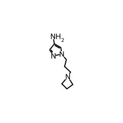 Nc1cnn(CCCN2CCC2)c1